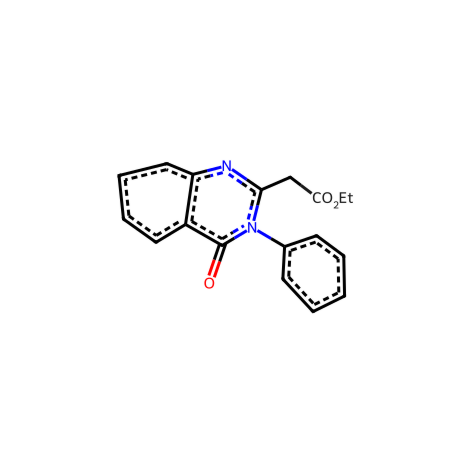 CCOC(=O)Cc1nc2ccccc2c(=O)n1-c1ccccc1